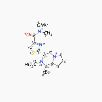 CON(C)C(=O)c1csc([C@@H]2CN3CCCC3C(C(C)(C)C)N2C(=O)O)n1